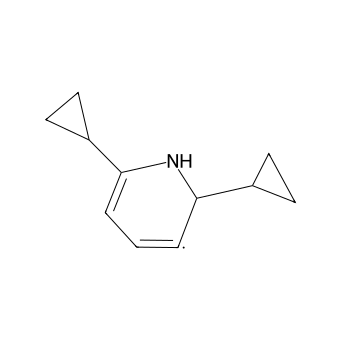 [C]1=CC=C(C2CC2)NC1C1CC1